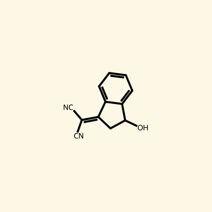 N#CC(C#N)=C1CC(O)c2ccccc21